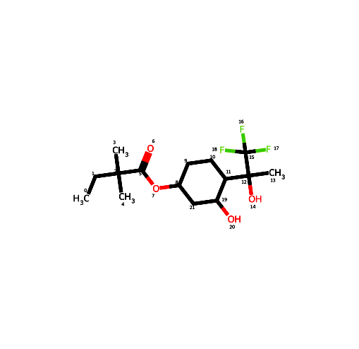 CCC(C)(C)C(=O)OC1CCC(C(C)(O)C(F)(F)F)C(O)C1